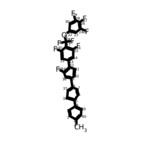 Cc1ccc(-c2ccc(-c3ccc(-c4cc(F)c(C(F)(F)Oc5cc(F)c(F)c(F)c5)c(F)c4)c(F)c3)cc2)cc1